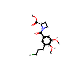 COC(=O)[C@H]1CCN1C(=O)c1cc(CCCF)c(OC)c(OC)c1